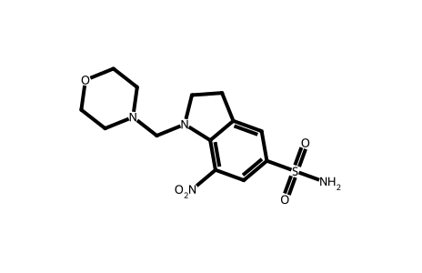 NS(=O)(=O)c1cc2c(c([N+](=O)[O-])c1)N(CN1CCOCC1)CC2